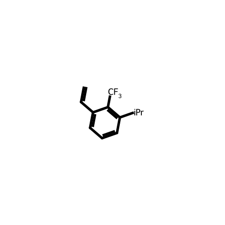 [CH2]C(C)c1cccc(C=C)c1C(F)(F)F